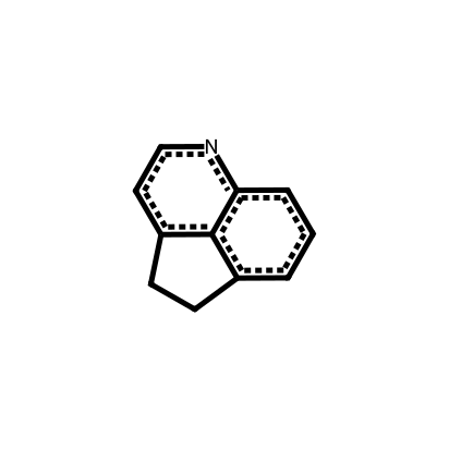 c1cc2c3c(ccnc3c1)CC2